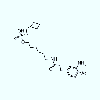 CC(=O)c1ccc(CCC(=O)NCCCCCCOP(O)(=S)OCC2CCC2)cc1N